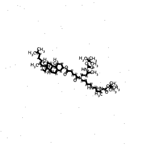 CC(C)CCC[C@@H](C)[C@H]1CC[C@H]2[C@@H]3CC=C4C[C@@H](OC(=O)CCCC(=O)N(CCCCNCCC(C)NC(=O)OC(C)(C)C)CCC(C)NC(=O)OC(C)(C)C)CC[C@]4(C)C3CC[C@]12C